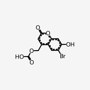 O=C(O)OCc1cc(=O)oc2cc(O)c(Br)cc12